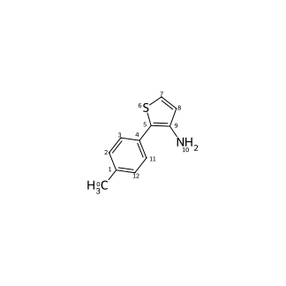 Cc1ccc(-c2sccc2N)cc1